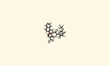 COC(=O)c1cccc2c1OCC(NC(=O)[C@H](C)N(C)C(=O)OC(C)(C)C)C(=O)N2Cc1c(OC)ccc2ccccc12